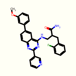 COc1cccc(-c2ccc3nc(-c4cccnc4)nc(NCC(Cc4ccccc4F)C(N)=O)c3c2)c1